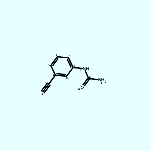 C#Cc1cccc(NC(N)=O)c1